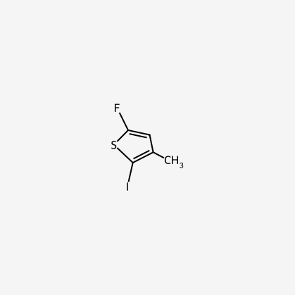 Cc1cc(F)sc1I